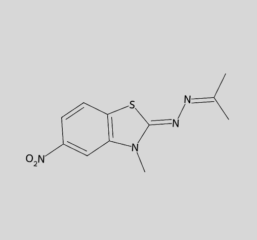 CC(C)=N/N=c1\sc2ccc([N+](=O)[O-])cc2n1C